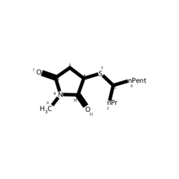 CCCCCC(CCC)SC1CC(=O)N(C)C1=O